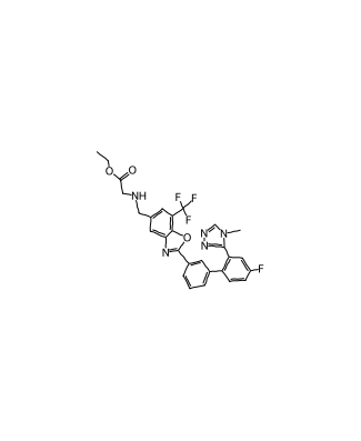 CCOC(=O)CNCc1cc(C(F)(F)F)c2oc(-c3cccc(-c4ccc(F)cc4-c4nncn4C)c3)nc2c1